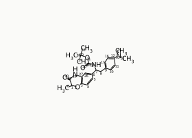 CC1Oc2ccc(C(Cc3ccc(N(C)C)cc3)NC(=O)OC(C)(C)C)cc2NC1=O